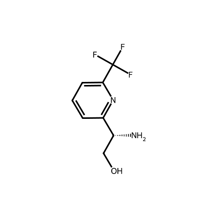 N[C@H](CO)c1cccc(C(F)(F)F)n1